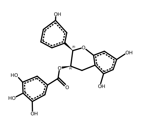 O=C(O[C@@H]1Cc2c(O)cc(O)cc2O[C@@H]1c1cccc(O)c1)c1cc(O)c(O)c(O)c1